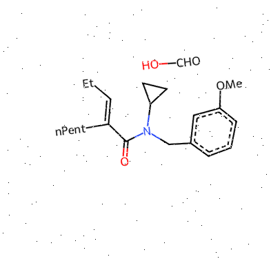 CCC=C(CCCCC)C(=O)N(Cc1cccc(OC)c1)C1CC1.O=CO